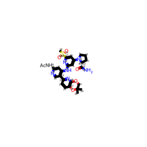 CC(=O)Nc1cc(Nc2cc(N3CCC[C@@H]3C(N)=O)cc(S(C)(=O)=O)n2)c(-c2ccc3c(n2)OCC(C)(C)O3)cn1